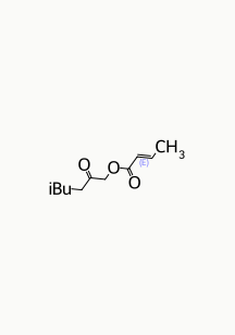 C/C=C/C(=O)OCC(=O)CC(C)CC